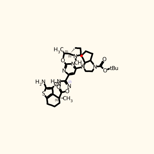 C[C@H](Oc1nc(/C(N)=N/OC(=O)[C@@]2(C)CCCc3sc(N)c(C#N)c32)cc(N2CCN(C(=O)OC(C)(C)C)C3CCCC32)n1)[C@@H]1CCCN1C